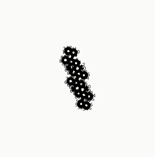 CC1(C)c2ccc3c(-c4cccc5ccccc45)c4c(c5c3c2C2(I)c3c(c(-c6c7c(c8c9c%10c(ccc69)C(C)(C)c6c9ccccc9c(-c9cccc%11ccccc9%11)c9ccc(c-%10c69)C8(C)C)=CCCC=7)c6ccccc6c31)C=CC2C5(C)C)=CCCC=4